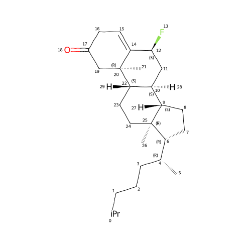 CC(C)CCC[C@@H](C)[C@H]1CC[C@H]2[C@@H]3C[C@H](F)C4=CCC(=O)C[C@]4(C)[C@H]3CC[C@]12C